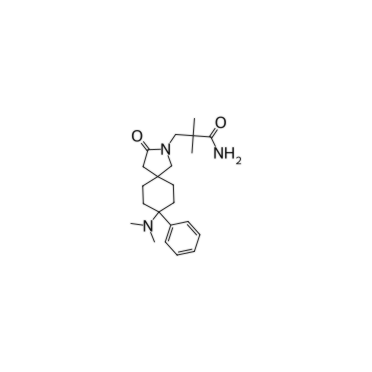 CN(C)C1(c2ccccc2)CCC2(CC1)CC(=O)N(CC(C)(C)C(N)=O)C2